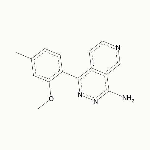 COc1cc(C)ccc1-c1nnc(N)c2cnccc12